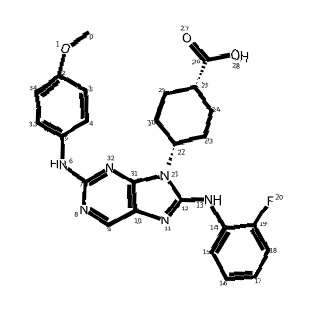 COc1ccc(Nc2ncc3nc(Nc4ccccc4F)n([C@H]4CC[C@@H](C(=O)O)CC4)c3n2)cc1